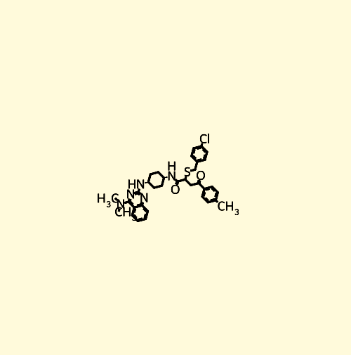 Cc1ccc(C(=O)CC(SCc2ccc(Cl)cc2)C(=O)N[C@H]2CC[C@@H](Nc3nc(N(C)C)c4ccccc4n3)CC2)cc1